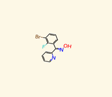 O/N=C(/c1ccccn1)c1cccc(Br)c1F